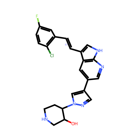 OC1CNCCC1n1cc(-c2cnc3[nH]cc(/C=C/c4cc(F)ccc4Cl)c3c2)cn1